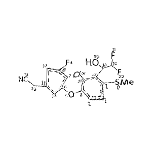 CSc1ccc(Oc2cc(F)cc(CC#N)c2)c(Cl)c1C(O)C(F)F